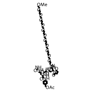 COCCOCCOCCOCCOCCOCCOCCOCCOCCOCCOCCOCCn1cc([C@H](CC(=O)N[C@H](C(=O)N[C@@H](CCCNC(N)=O)C(=O)Nc2ccc(COC(C)=O)cc2)C(C)C)N2C(=O)C=CC2=O)nn1